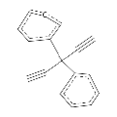 C#CC(C#C)(c1ccccc1)c1ccccc1